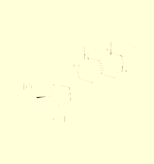 O=c1ncc2c([nH]1)NOC(C1C[C@H](O)[C@@H](CO)O1)C2